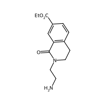 CCOC(=O)c1ccc2c(c1)C(=O)N(CCN)CC2